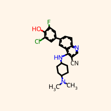 CN(C)C1CCC(Nc2c(C#N)cnc3ccc(-c4cc(F)c(O)c(Cl)c4)cc23)CC1